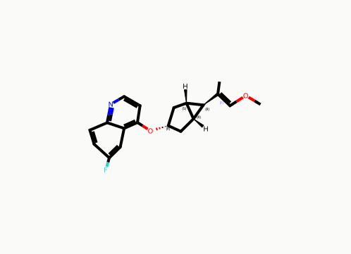 CO/C=C(\C)[C@H]1[C@@H]2C[C@H](Oc3ccnc4ccc(F)cc34)C[C@@H]21